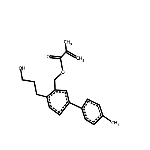 C=C(C)C(=O)OCc1cc(-c2ccc(C)cc2)ccc1CCCO